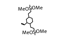 C=CC1CC(CC[Si](C)(OC)OC)CCC1CC[Si](C)(OC)OC